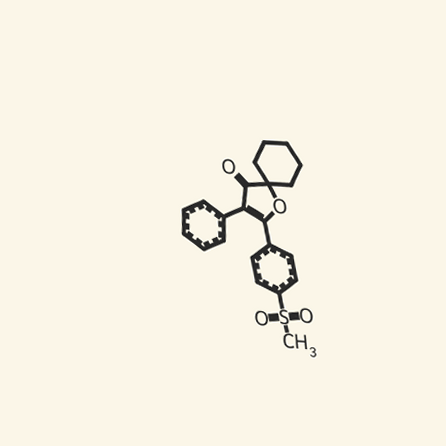 CS(=O)(=O)c1ccc(C2=C(c3ccccc3)C(=O)C3(CCCCC3)O2)cc1